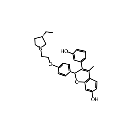 CC[C@@H]1CCN(CCOc2ccc(C3Oc4cc(O)ccc4C(C)=C3c3cccc(O)c3)cc2)C1